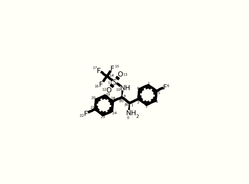 N[C@H](c1ccc(F)cc1)[C@H](NS(=O)(=O)C(F)(F)F)c1ccc(F)cc1